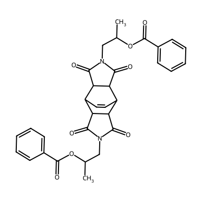 CC(CN1C(=O)C2C3C=CC(C2C1=O)C1C(=O)N(CC(C)OC(=O)c2ccccc2)C(=O)C31)OC(=O)c1ccccc1